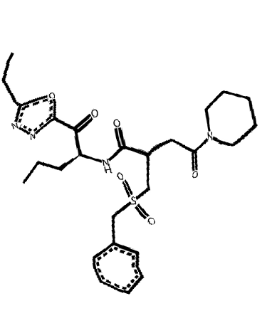 CCC[C@H](NC(=O)C(CC(=O)N1CCCCC1)CS(=O)(=O)Cc1ccccc1)C(=O)c1nnc(CC)o1